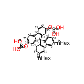 CCCCCCc1ccc(C2(c3ccc(CCCCCC)cc3)c3cc(OB(O)O)ccc3-c3ccc(OB(O)O)cc32)cc1